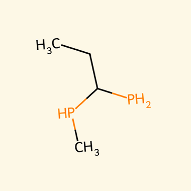 CCC(P)PC